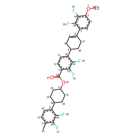 CCOc1ccc(C2=CCC(c3ccc(C(=O)OC4CCC(c5ccc(C)c(F)c5F)CC4)c(F)c3F)CC2)c(F)c1F